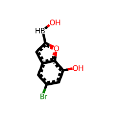 OBc1cc2cc(Br)cc(O)c2o1